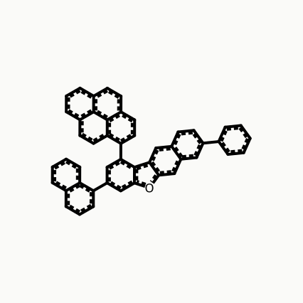 c1ccc(-c2ccc3cc4c(cc3c2)oc2cc(-c3cccc5ccccc35)cc(-c3ccc5ccc6cccc7ccc3c5c67)c24)cc1